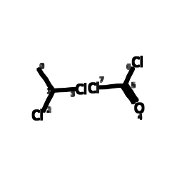 CC(Cl)Cl.O=C(Cl)Cl